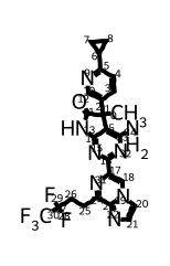 CC1(c2ccc(C3CC3)nc2)C(=O)Nc2nc(-c3cn4ccnc4c(CCC(F)(F)C(F)(F)F)n3)nc(N)c21